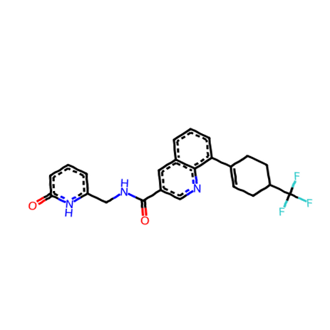 O=C(NCc1cccc(=O)[nH]1)c1cnc2c(C3=CCC(C(F)(F)F)CC3)cccc2c1